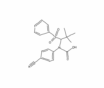 CC(C)(C)C(N(C(=O)O)c1ccc(C#N)cc1)S(=O)(=O)c1ccccc1